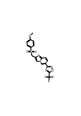 COc1ccc(S(=O)(=O)Cc2cn3cc(-c4noc(C(F)(F)F)n4)ccc3n2)cc1